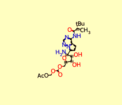 CC(=O)OCOC(=O)OC[C@H]1O[C@@](N)(c2ccc3c(NC(=O)[C@@H](C)C(C)(C)C)ncnn23)[C@H](O)[C@@H]1O